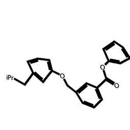 CC(C)Cc1cccc(OCc2cccc(C(=O)Oc3ccccc3)c2)c1